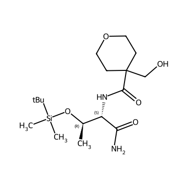 C[C@@H](O[Si](C)(C)C(C)(C)C)[C@H](NC(=O)C1(CO)CCOCC1)C(N)=O